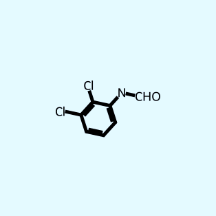 O=C[N]c1cccc(Cl)c1Cl